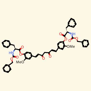 COc1cc(/C=C/C(=O)CC(=O)/C=C/c2ccc(OC(=O)[C@H](Cc3ccccc3)NC(=O)OCc3ccccc3)c(OC)c2)ccc1OC(=O)[C@H](Cc1ccccc1)NC(=O)OCc1ccccc1